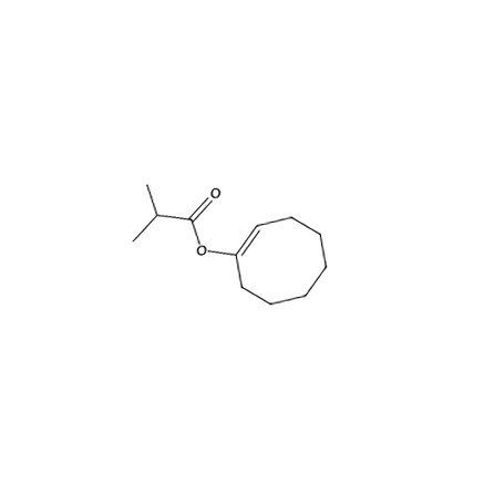 CC(C)C(=O)OC1=CCCCCCC1